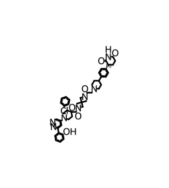 O=C1CC[C@H](c2ccc(C3CCN(CC(=O)N4CC5(C4)CN(C(=O)C4(Oc6ccccc6Cl)CCN(c6cnnc(-c7ccccc7O)c6)CC4)C5)CC3)cc2)C(=O)N1